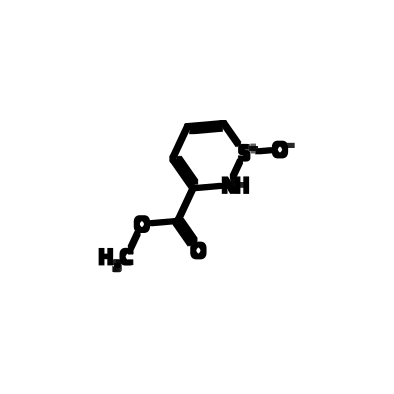 COC(=O)C1=CC=C[S+]([O-])N1